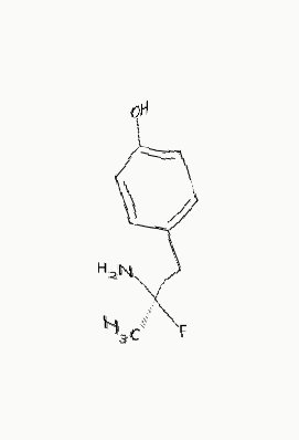 C[C@@](N)(F)Cc1ccc(O)cc1